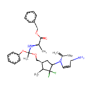 C=C(NC)N(/C=C\CN)C1C[C@H](COC(C)(NC(C)C(=O)OCc2ccccc2)Oc2ccccc2)C(C)C1(F)F